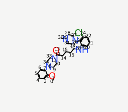 COc1ccccc1N1CCN(C(=O)CCCCNc2cccc(Cl)c2N2CCN(C)CC2)CC1